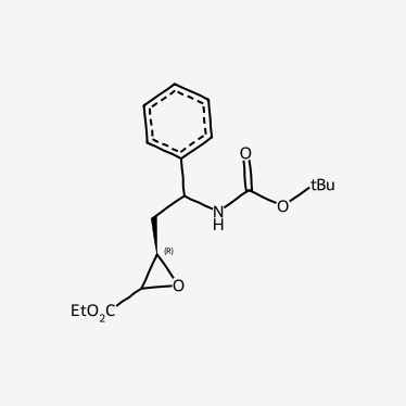 CCOC(=O)C1O[C@@H]1CC(NC(=O)OC(C)(C)C)c1ccccc1